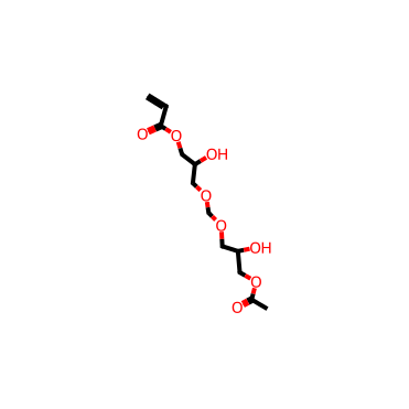 C=CC(=O)OCC(O)COCOCC(O)COC(C)=O